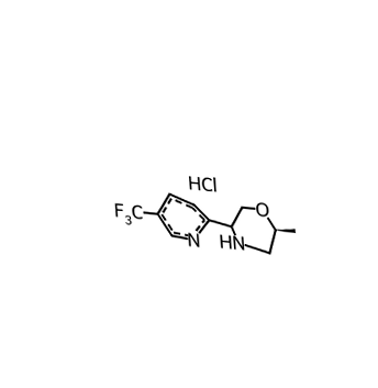 C[C@H]1CNC(c2ccc(C(F)(F)F)cn2)CO1.Cl